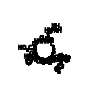 COC(=O)[C@H](c1ccccc1Cl)N1CCc2sccc2C1.N=C(N)NCCCC[C@@H]1NC(=O)CCSSC[C@@H](C(N)=O)NC(=O)[C@@H]2CCCN2C(=O)[C@H](Cc2c[nH]c3ccccc23)NC(=O)[C@H](CC(=O)O)NC(=O)CNC1=O